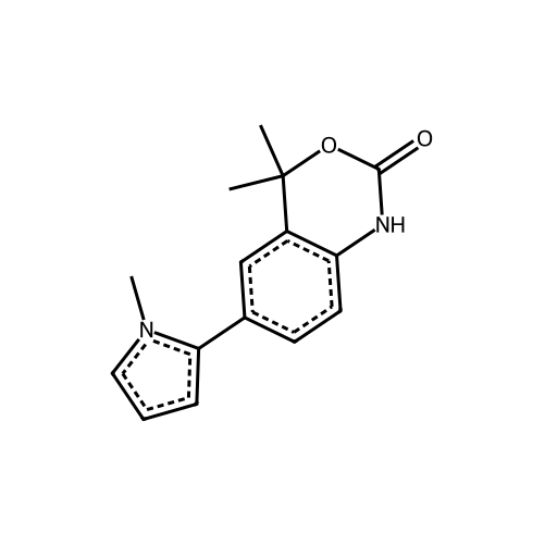 Cn1cccc1-c1ccc2c(c1)C(C)(C)OC(=O)N2